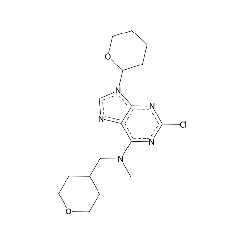 CN(CC1CCOCC1)c1nc(Cl)nc2c1ncn2C1CCCCO1